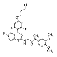 COc1ccc(N(C)C(=O)CNC(=Nc2ccc(F)cc2)SCc2c(F)cc(OCCCCl)cc2F)cc1OC